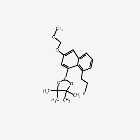 COCOc1cc(B2OC(C)(C)C(C)(C)O2)c2c(CCF)cccc2c1